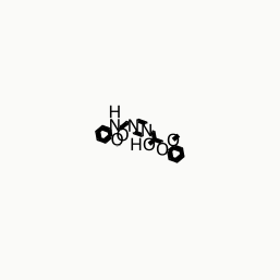 COc1ccccc1NC(=O)CN1CCN(CC(O)COc2ccccc2OC)CC1